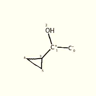 [CH2-][C+](O)C1CC1